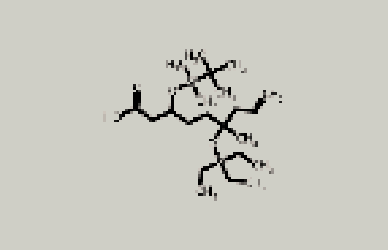 C=CCC(C)(CCC(CC(=O)O)O[Si](C)(C)C(C)(C)C)O[Si](CC)(CC)CC